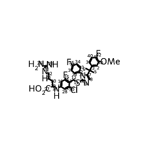 COc1cc(C(C)(C)c2cnc(SCc3c(F)cc(N[C@H](CCCNC(=N)N)C(=O)O)cc3Cl)n2-c2ccc(F)cc2)ccc1F